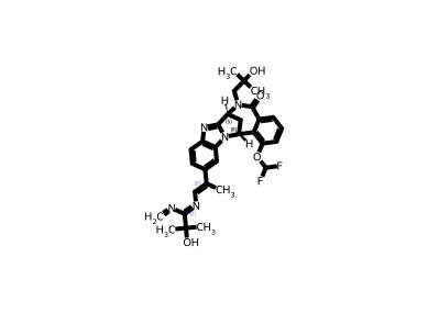 C=N/C(=N\C=C(/C)c1ccc2nc3n(c2c1)[C@@H]1C[C@@H]3N(CC(C)(C)O)C(=O)c2cccc(OC(F)F)c21)C(C)(C)O